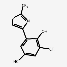 N#Cc1cc(-c2csc(C(F)(F)F)n2)c(O)c(C(F)(F)F)c1